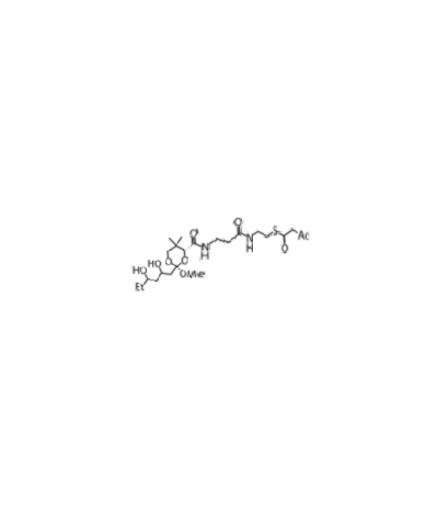 CCC(O)CC(O)CC1(OC)OCC(C)(C)[C@H](C(=O)NCCC(=O)NCCSC(=O)CC(C)=O)O1